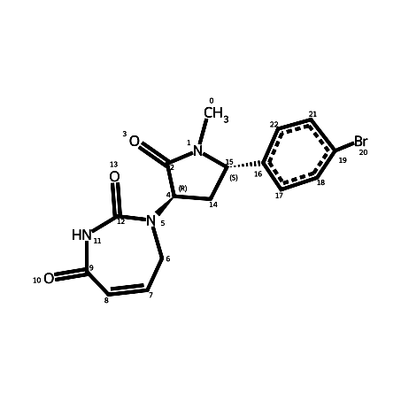 CN1C(=O)[C@H](N2CC=CC(=O)NC2=O)C[C@H]1c1ccc(Br)cc1